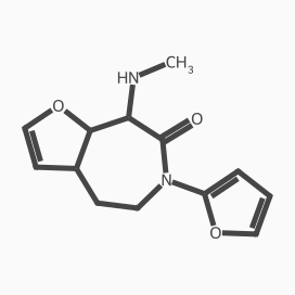 CNC1C(=O)N(c2ccco2)CCC2C=COC21